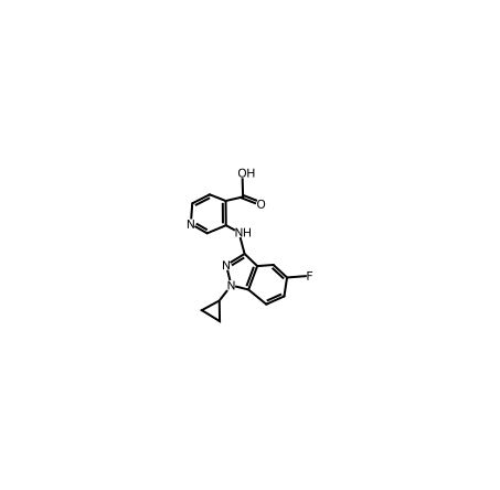 O=C(O)c1ccncc1Nc1nn(C2CC2)c2ccc(F)cc12